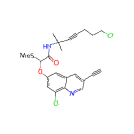 C#Cc1cnc2c(Cl)cc(OC(SC)C(=O)NC(C)(C)C#CCCCCl)cc2c1